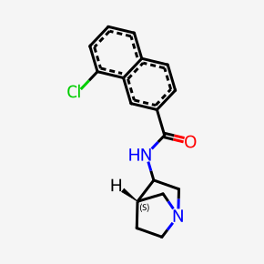 O=C(NC1CN2CC[C@H]1C2)c1ccc2cccc(Cl)c2c1